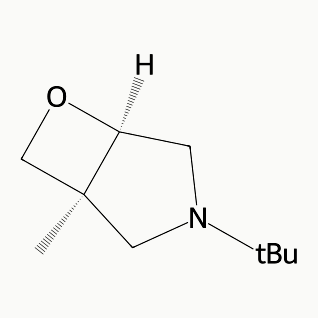 CC(C)(C)N1C[C@@H]2OC[C@]2(C)C1